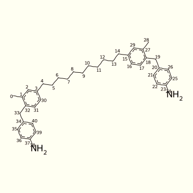 Cc1cc(CCCCCCCCCCCc2ccc(Cc3ccc(N)cc3)c(C)c2)ccc1Cc1ccc(N)cc1